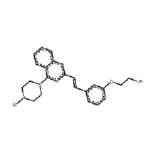 CCN1CCN(c2nc(C=Cc3cccc(OCCO)c3)cc3ccccc23)CC1